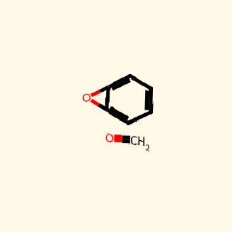 C=O.c1ccc2c(c1)O2